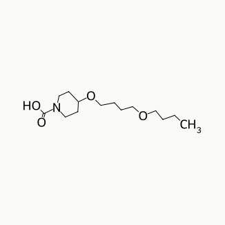 CCCCOCCCCOC1CCN(C(=O)O)CC1